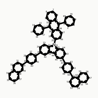 c1ccc(-c2c3ccccc3c(-c3ccccc3)c3cc(-n4c5ccc(-c6ccc(-c7ccc8ccccc8c7)cc6)cc5c5cc(-c6ccc(-c7cccc8ccccc78)cc6)ccc54)ccc23)cc1